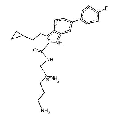 NCCC[C@H](N)CNC(=O)c1[nH]c2cc(-c3ccc(F)cc3)ccc2c1CCC1CC1